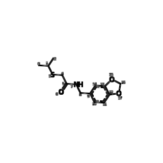 CC(C)SCC(=O)NCc1ccc2c(c1)OCO2